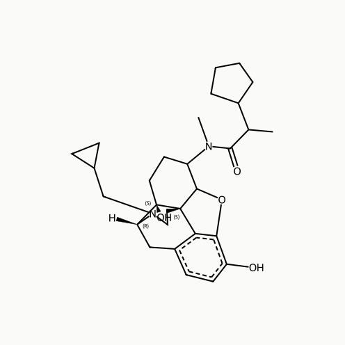 CC(C(=O)N(C)C1CC[C@@]2(O)[C@H]3Cc4ccc(O)c5c4[C@@]2(CCN3CC2CC2)C1O5)C1CCCC1